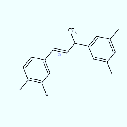 Cc1cc(C)cc(C(/C=C/c2ccc(C)c(F)c2)C(F)(F)F)c1